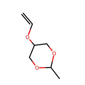 C=COC1COC(C)OC1